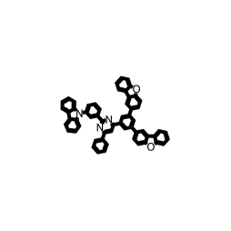 c1ccc(-c2cc(-c3cc(-c4ccc5oc6ccccc6c5c4)cc(-c4ccc5oc6ccccc6c5c4)c3)nc(-c3cccc(-n4c5ccccc5c5ccccc54)c3)n2)cc1